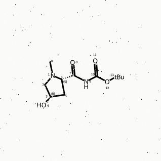 CN1C[C@H](O)C[C@H]1C(=O)NC(=O)OC(C)(C)C